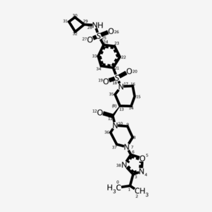 CC(C)c1noc(N2CCN(C(=O)[C@@H]3CCCN(S(=O)(=O)c4ccc(S(=O)(=O)NC5CCC5)cc4)C3)CC2)n1